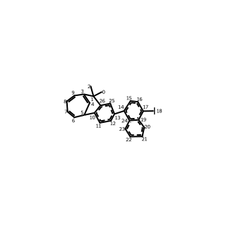 CC1(C)C2=CC(C=CC=C2)c2ccc(-c3ccc(I)c4ccccc34)cc21